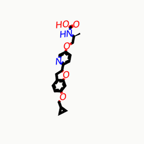 C[C@@H](COc1ccc(C2Cc3ccc(OCC4CC4)cc3O2)nc1)NC(=O)O